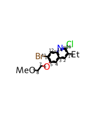 CCc1cc2cc(OCCOC)c(Br)cc2nc1Cl